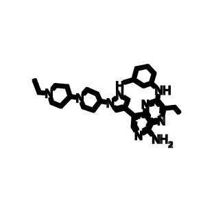 CCc1nc2c(N)ncc(C3=CN(C4CCN(C5CCN(CC)CC5)CC4)NC3)c2nc1NC1CCCC(C)C1